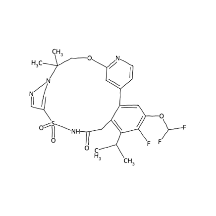 CC(C)c1c(F)c(OC(F)F)cc2c1CC(=O)NS(=O)(=O)c1cnn(c1)C(C)(C)COc1cc-2ccn1